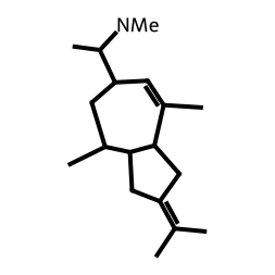 CNC(C)C1C=C(C)C2CC(=C(C)C)CC2C(C)C1